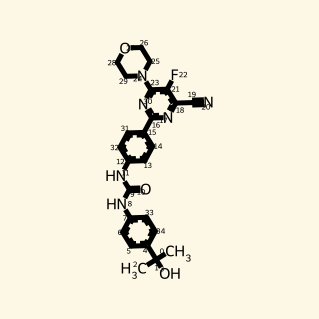 CC(C)(O)c1ccc(NC(=O)Nc2ccc(-c3nc(C#N)c(F)c(N4CCOCC4)n3)cc2)cc1